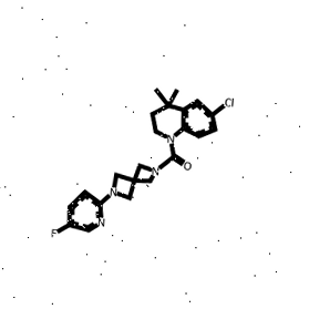 CC1(C)CCN(C(=O)N2CC3(C2)CN(c2ccc(F)cn2)C3)c2ccc(Cl)cc21